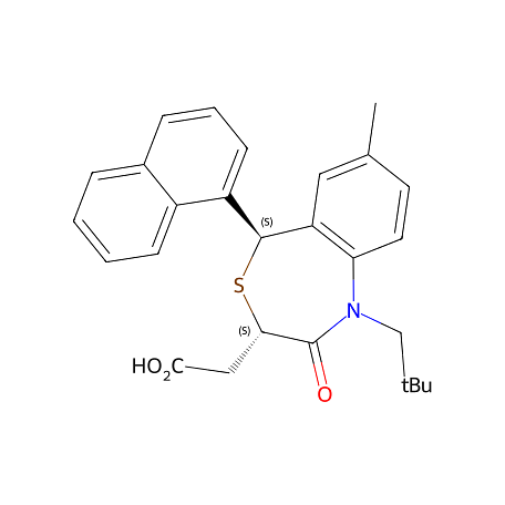 Cc1ccc2c(c1)[C@H](c1cccc3ccccc13)S[C@@H](CC(=O)O)C(=O)N2CC(C)(C)C